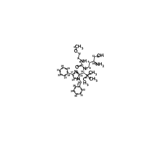 COCCNC(=O)N(CC[C@H](N)CO)[C@@H](c1nc(-c2ccccc2)cn1Cc1ccccc1)C(C)(C)C